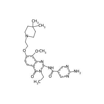 CCn1c(NC(=O)c2cnc(N)nc2)nc2c(OC)c(OCCN3CCC(C)(C)CC3)ccc2c1=O